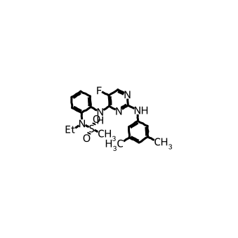 CCN(c1ccccc1Nc1nc(Nc2cc(C)cc(C)c2)ncc1F)S(C)(=O)=O